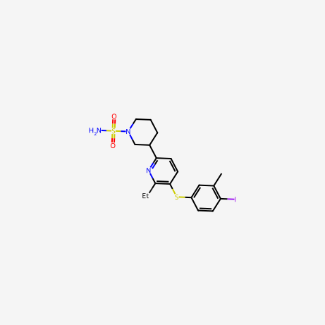 CCc1nc(C2CCCN(S(N)(=O)=O)C2)ccc1Sc1ccc(I)c(C)c1